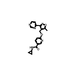 Cc1onc(-c2ccncn2)c1COc1ccc(C(=O)NC2CC2)cn1